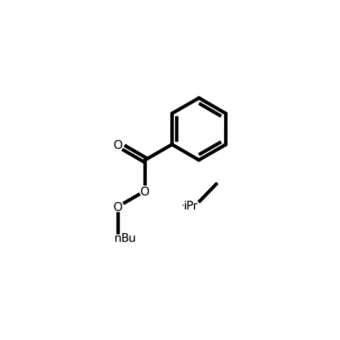 CCCCOOC(=O)c1ccccc1.C[C](C)C